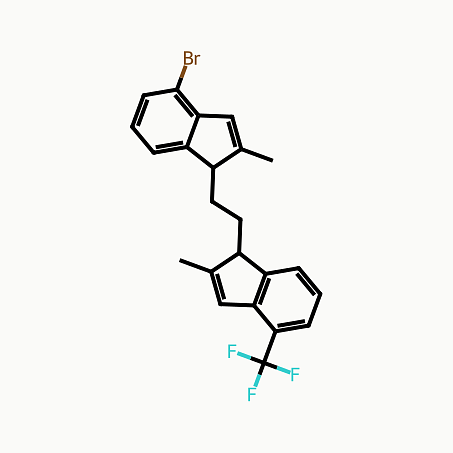 CC1=Cc2c(Br)cccc2C1CCC1C(C)=Cc2c1cccc2C(F)(F)F